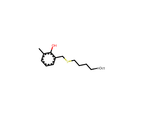 CCCCCCCCCCCCSCc1cccc(C)c1O